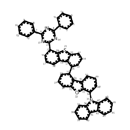 c1ccc(-c2nc(-c3ccccc3)nc(-c3cccc4c3sc3cccc(-c5cccc6oc7c(-n8c9ccccc9c9ccccc98)cccc7c56)c34)n2)cc1